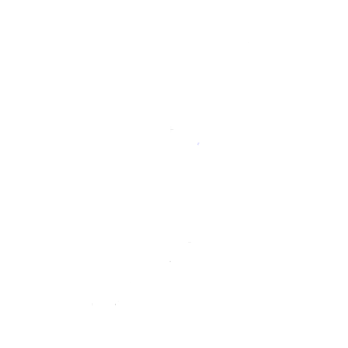 CCCc1ccc(/C(F)=C(\F)C2CCC(C3CCC(OCC)CC3(F)F)CC2)cc1